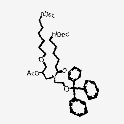 CCCCCCCCCCCCCCCCOCC(CN(CCOC(c1ccccc1)(c1ccccc1)c1ccccc1)C(=O)CCCCCCCCCCCCCCC)OC(C)=O